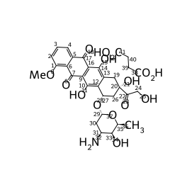 COc1cccc2c1C(=O)c1c(O)c3c(c(O)c1C2=O)C[C@@](O)(C(=O)CO)C[C@@H]3O[C@H]1C[C@H](N)[C@H](O)[C@H](C)O1.O=C(O)CCC(=O)O